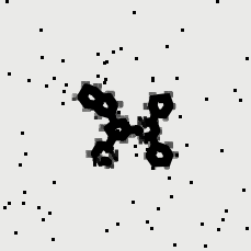 c1ccc(-c2cc(-c3ccccc3)nc(-c3cc(-c4ccc5ccccc5c4)cc(-c4ccncn4)c3)n2)cc1